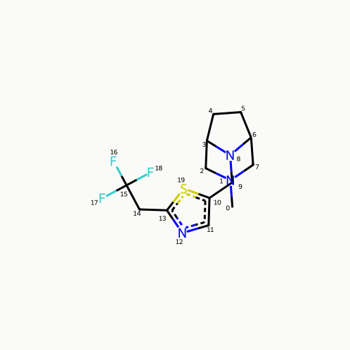 CN1CC2CCC(C1)N2Cc1cnc(CC(F)(F)F)s1